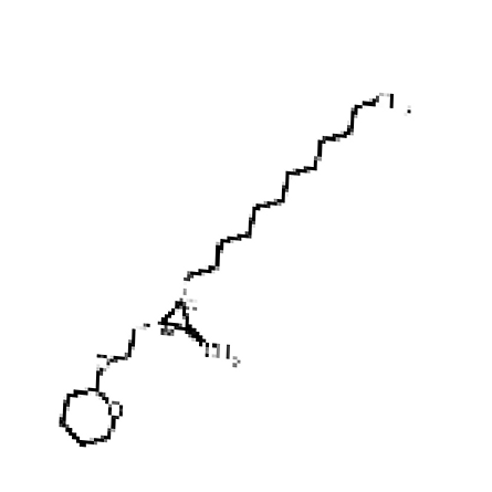 C=C1[C@@H](CCCCCCCCCCCC)[C@H]1CCOC1CCCCO1